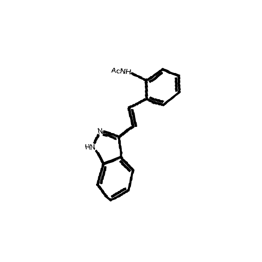 CC(=O)Nc1ccccc1C=Cc1n[nH]c2ccccc12